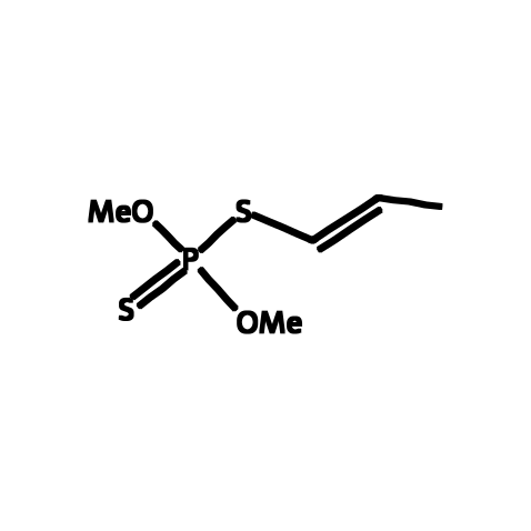 CC=CSP(=S)(OC)OC